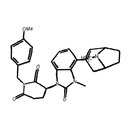 COc1ccc(CN2C(=O)CCC(n3c(=O)n(C)c4c(C5=CC6CCC(C5)N6C(=O)O)cccc43)C2=O)cc1